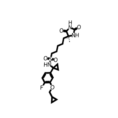 C[C@@]1(CCCCCS(=O)(=O)NC2(c3ccc(F)c(OCC4CC4)c3)CC2)NC(=O)NC1=O